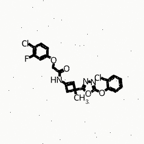 CC1(c2nnc(Oc3ccccc3Cl)o2)C=C(NC(=O)COc2ccc(Cl)c(F)c2)C1